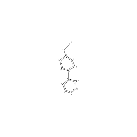 FCc1ccc(-c2ccccn2)cc1